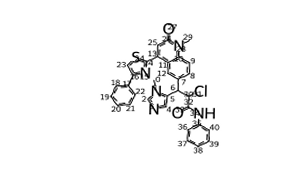 Cn1cncc1C(c1ccc2c(c1)c(-c1nc(-c3ccccc3)cs1)cc(=O)n2C)C(Cl)C(=O)Nc1ccccc1